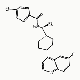 CC[C@H](NC(=O)c1ccc(Cl)cc1)[C@H]1CC[C@@H](c2ccnc3ccc(F)cc32)CC1